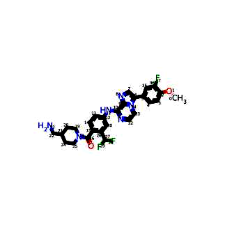 COc1ccc(-c2cnc3c(Nc4ccc(C(=O)N5CCC(CN)CC5)c(C(F)F)c4)nccn23)cc1F